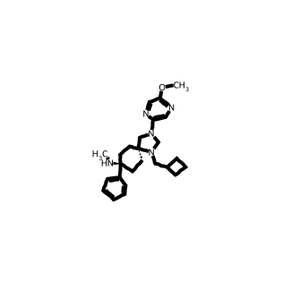 CN[C@]1(c2ccccc2)CC[C@]2(CC1)CN(c1cnc(OC)cn1)CN2CC1CCC1